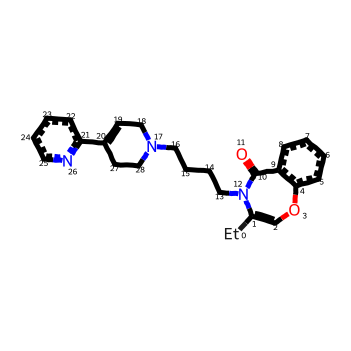 CCC1=COc2ccccc2C(=O)N1CCCCN1CC=C(c2ccccn2)CC1